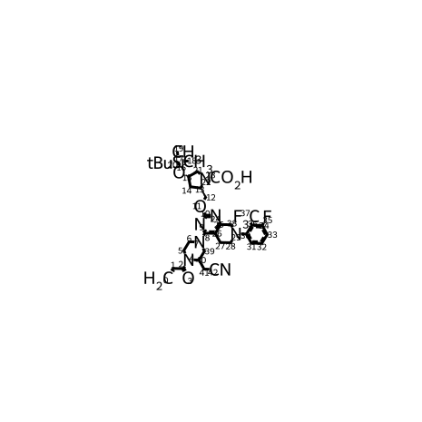 C=CC(=O)N1CCN(c2nc(OC[C@H]3C[C@H](O[Si](C)(C)C(C)(C)C)CN3C(=O)O)nc3c2CCN(c2cccc(F)c2C(F)(F)F)C3)CC1CC#N